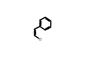 Cl/C=[C]\c1ccccc1